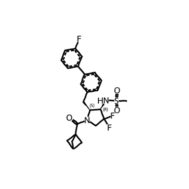 CS(=O)(=O)N[C@@H]1[C@H](Cc2cccc(-c3cccc(F)c3)c2)N(C(=O)C23CC(C2)C3)CC1(F)F